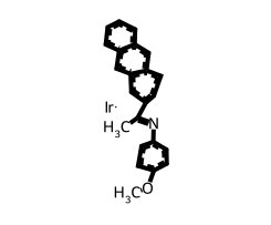 COc1ccc(N=C(C)c2ccc3cc4ccccc4cc3c2)cc1.[Ir]